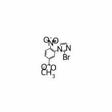 COC(=O)c1ccc([N+](=O)[O-])c(-n2ccnc2Br)c1